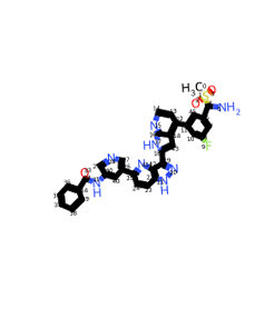 CS(=O)(=O)C(N)c1cc(F)cc(-c2ccnc3[nH]c(-c4n[nH]c5ccc(-c6cncc(NC(=O)c7ccccc7)c6)nc45)cc23)c1